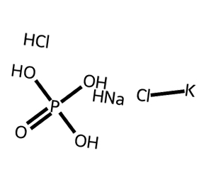 Cl.O=P(O)(O)O.[Cl][K].[NaH]